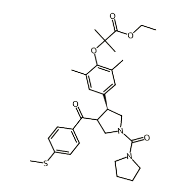 CCOC(=O)C(C)(C)Oc1c(C)cc([C@H]2CN(C(=O)N3CCCC3)CC2C(=O)c2ccc(SC)cc2)cc1C